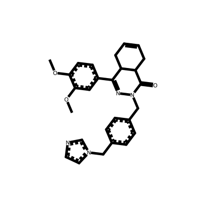 COc1ccc(C2=NN(Cc3ccc(Cn4ccnc4)cc3)C(=O)C3CC=CCC23)cc1OC